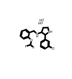 Cl.Cl.FC(F)Oc1ccccc1CNC1CCNC1c1cccc(Cl)c1